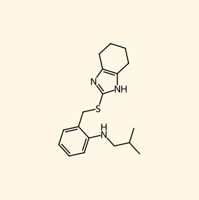 CC(C)CNc1ccccc1CSc1nc2c([nH]1)CCCC2